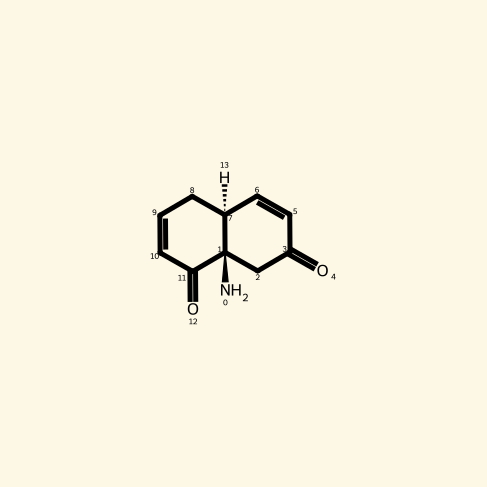 N[C@]12CC(=O)C=C[C@@H]1CC=CC2=O